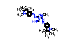 CC1N(C)c2ccc(N=Nc3nn(C)c(N=Nc4ccc5c(c4)C(C)(C)C(C)N5C)[n+]3C=N)cc2C1(C)C